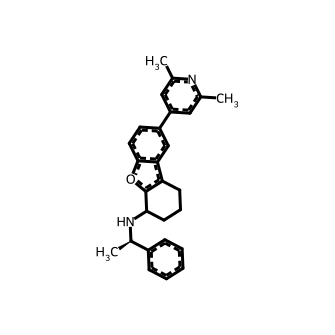 Cc1cc(-c2ccc3oc4c(c3c2)CCCC4N[C@H](C)c2ccccc2)cc(C)n1